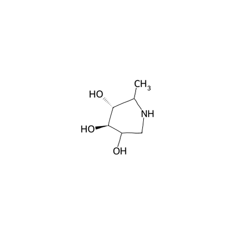 CC1NCC(O)[C@@H](O)[C@@H]1O